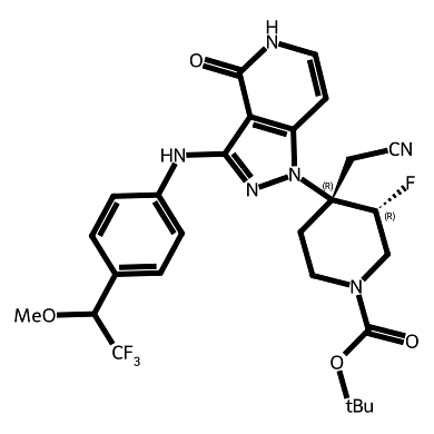 COC(c1ccc(Nc2nn([C@@]3(CC#N)CCN(C(=O)OC(C)(C)C)C[C@H]3F)c3cc[nH]c(=O)c23)cc1)C(F)(F)F